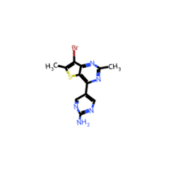 Cc1nc(-c2cnc(N)nc2)c2sc(C)c(Br)c2n1